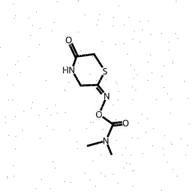 CN(C)C(=O)ON=C1CNC(=O)CS1